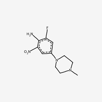 CN1CCN(c2cc(F)c(N)c([N+](=O)[O-])c2)CC1